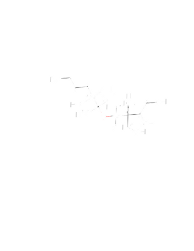 CCCC[Si](C)(C)C(C)(C)O[Si](C)(C)C(C)(CC)C(C)CC